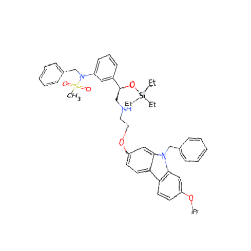 CC[Si](CC)(CC)O[C@@H](CNCCOc1ccc2c3ccc(OC(C)C)cc3n(Cc3ccccc3)c2c1)c1cccc(N(Cc2ccccc2)S(C)(=O)=O)c1